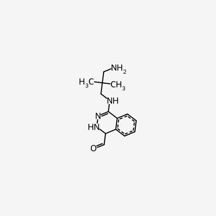 CC(C)(CN)CNC1=NNC(C=O)c2ccccc21